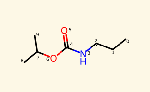 CC[CH]NC(=O)OC(C)C